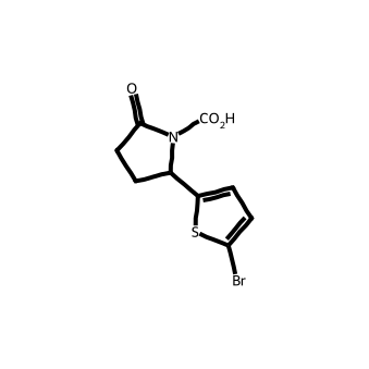 O=C(O)N1C(=O)CCC1c1ccc(Br)s1